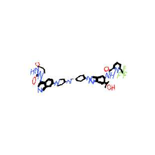 CN(C[C@H]1CC[C@H](n2cc3cc(NC(=O)c4cccc(C(F)(F)F)n4)c(C(C)(C)O)cc3n2)CC1)C1CCN(c2ccc3c(N4CCC(=O)NC4=O)cncc3c2)CC1